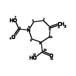 C=C1CCN(C(=O)O)CC(C(=O)O)C1